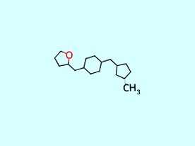 C[C@H]1CCC(CC2CCC(CC3CCCO3)CC2)C1